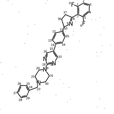 Fc1cccc(F)c1C1=NC(c2ccc(-c3cnc(N4CCN(Cc5ccccc5)CC4)nc3)cc2)CC1